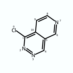 Clc1nncc2cnccc12